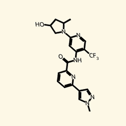 CC1CC(O)CN1c1cc(NC(=O)c2cccc(-c3cnn(C)c3)n2)c(C(F)(F)F)cn1